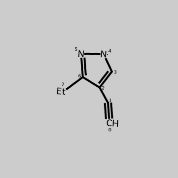 C#CC1=C[N]N=C1CC